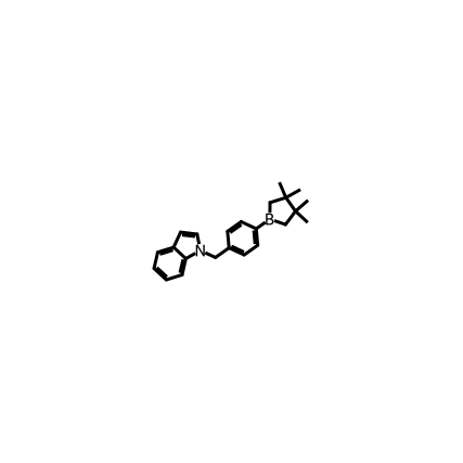 CC1(C)CB(c2ccc(Cn3ccc4ccccc43)cc2)CC1(C)C